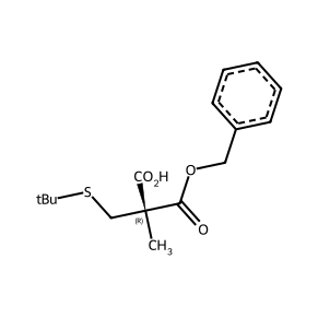 CC(C)(C)SC[C@](C)(C(=O)O)C(=O)OCc1ccccc1